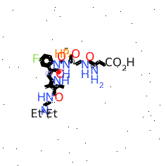 CCN(CC)CCNC(=O)c1c(C)[nH]c(/C=C2\C(=O)N(C(=O)N[C@@H](CCNC(=O)[C@@H](N)CCC(=O)O)C(=O)PC)c3ccc(F)cc32)c1C